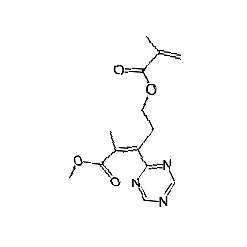 C=C(C)C(=O)OCCC(=C(C)C(=O)OC)c1ncncn1